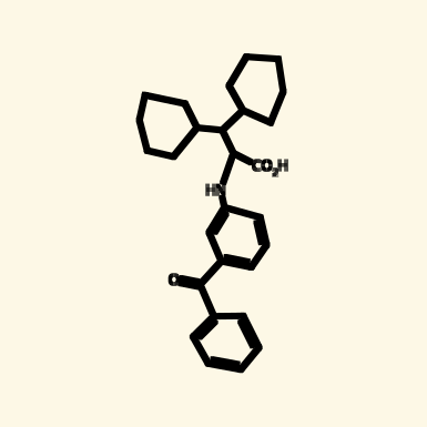 O=C(c1ccccc1)c1cccc(NC(C(=O)O)C(C2CCCCC2)C2CCCCC2)c1